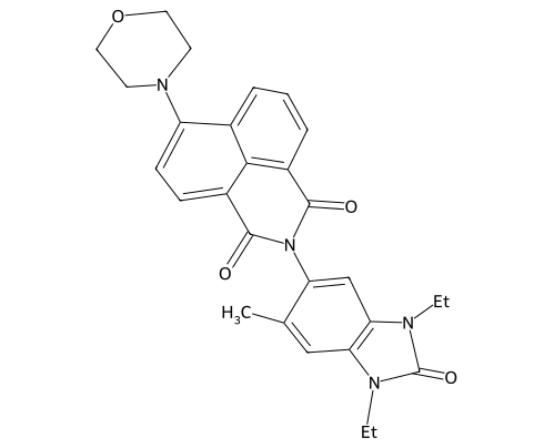 CCn1c(=O)n(CC)c2cc(N3C(=O)c4cccc5c(N6CCOCC6)ccc(c45)C3=O)c(C)cc21